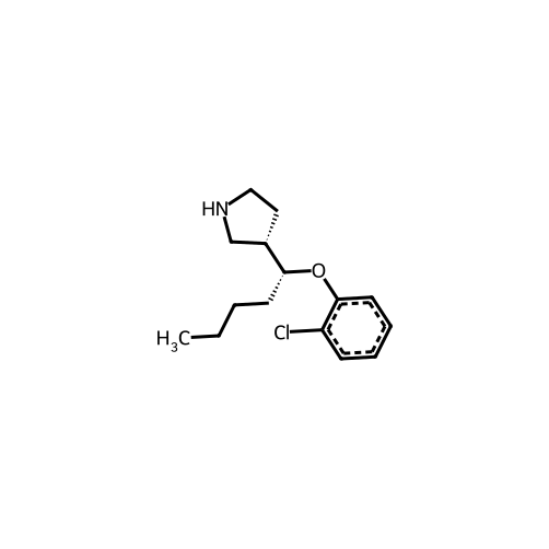 CCCC[C@@H](Oc1ccccc1Cl)[C@H]1CCNC1